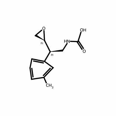 Cc1cccc([C@H](CNC(=O)O)[C@H]2CO2)c1